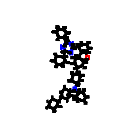 c1ccc(-c2ccc3c(c2)c2ccccc2n3-c2ccc(-c3ccc4c(c3)oc3cccc(-c5nc(-c6ccccc6)nc(-c6ccccc6)n5)c34)cc2)cc1